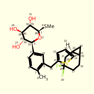 CS[C@H]1O[C@@H](c2ccc(C)c(Cc3ccc([C@]45CCC(F)(F)C[C@H]4C5)s3)c2)[C@H](O)[C@@H](O)[C@@H]1O